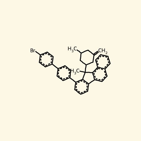 C=C1CC(C)CC(C2(C)c3c(-c4ccc(-c5ccc(Br)cc5)cc4)cccc3-c3ccc4ccccc4c32)C1